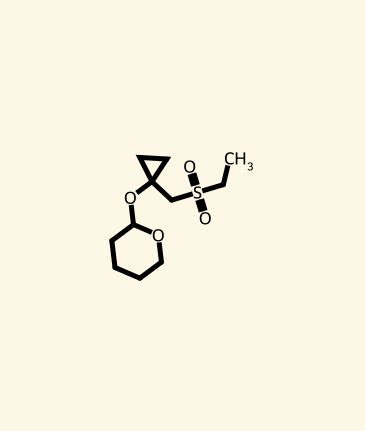 CCS(=O)(=O)CC1(OC2CCCCO2)CC1